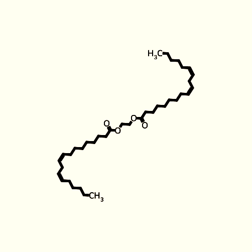 CCCCC/C=C\C/C=C\CCCCCCCC(=O)OCCOC(=O)CCCCCCC/C=C\C/C=C\CCCCC